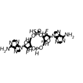 Nc1ncnc2c1ncn2[C@@H]1O[C@@H]2CO[P@@](=O)(S)O[C@H]3[C@@H](F)[C@H](n4cnc5c(N)ncnc54)O[C@@H]3COPO[C@H]2[C@H]1F